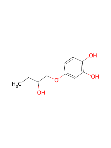 CCC(O)COc1ccc(O)c(O)c1